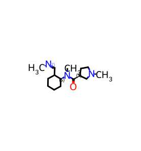 C/N=C\C1CCCC[C@@H]1N(C)C(=O)[C@H]1CCN(C)C1